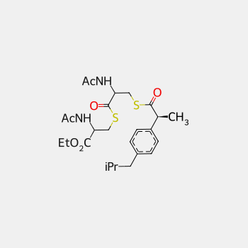 CCOC(=O)C(CSC(=O)C(CSC(=O)[C@@H](C)c1ccc(CC(C)C)cc1)NC(C)=O)NC(C)=O